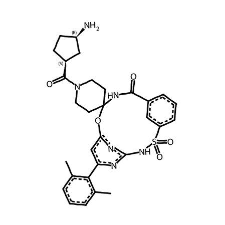 Cc1cccc(C)c1-c1cc2nc(n1)NS(=O)(=O)c1cccc(c1)C(=O)NC1(CCN(C(=O)[C@H]3CC[C@@H](N)C3)CC1)O2